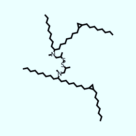 CCCCCCCCCC(CCCCCCCC1CC1CCCCCCCC)N(C)CC(C)SSC(C)CN(C)C(CCCCCCCCC)CCCCCCCC1CC1CCCCCCCC